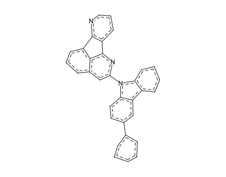 c1ccc(-c2ccc3c(c2)c2ccccc2n3-c2cc3cccc4c3c(n2)-c2cccnc2-4)cc1